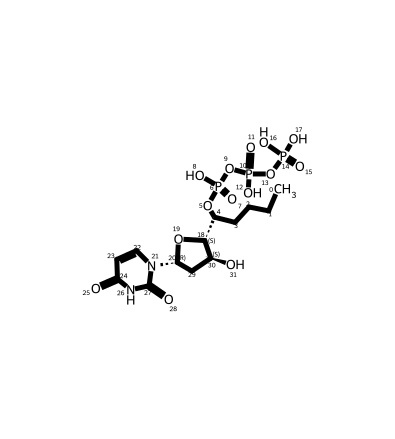 CCCCC(OP(=O)(O)OP(=O)(O)OP(=O)(O)O)[C@H]1O[C@@H](n2ccc(=O)[nH]c2=O)C[C@@H]1O